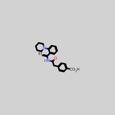 CC/C=C(/NC(=O)Cc1ccc(C(=O)O)cc1)c1ccccc1N1CCCCC1